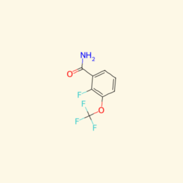 NC(=O)c1cccc(OC(F)(F)F)c1F